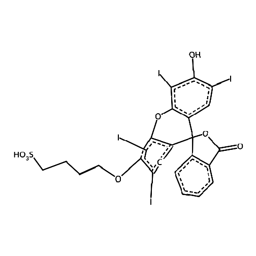 O=C1OC2(c3ccccc31)c1cc(I)c(O)c(I)c1Oc1c2cc(I)c(OCCCCS(=O)(=O)O)c1I